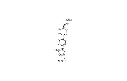 COC[C@H]1CN(c2ccc([C@H]3CC[C@H](OCSC)CC3)cc2)C(=O)O1